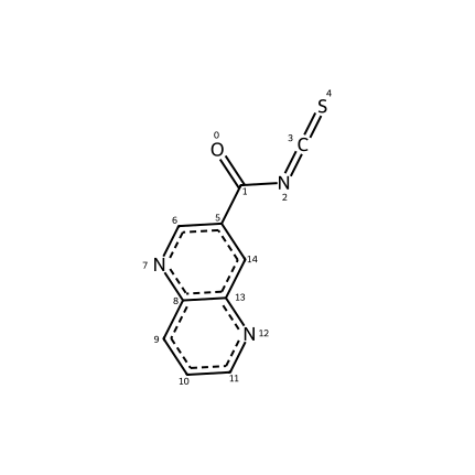 O=C(N=C=S)c1cnc2cccnc2c1